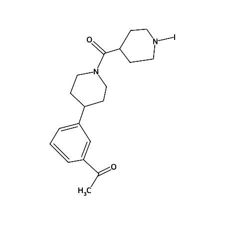 CC(=O)c1cccc(C2CCN(C(=O)C3CCN(I)CC3)CC2)c1